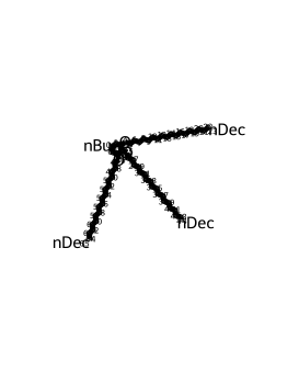 [CH2]CCCc1cc(OCCCCCCCCCCCCCCCCCCCCCCCCCCCC)c(OCCCCCCCCCCCCCCCCCCCCCCCCCCCC)c(OCCCCCCCCCCCCCCCCCCCCCCCCCCCC)c1